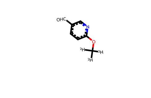 [2H]C([2H])([2H])Oc1ccc(C=O)cn1